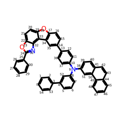 c1ccc(-c2cccc(N(c3ccc(-c4ccc5oc6ccc7oc(-c8ccccc8)nc7c6c5c4)cc3)c3ccc4ccc5ccccc5c4c3)c2)cc1